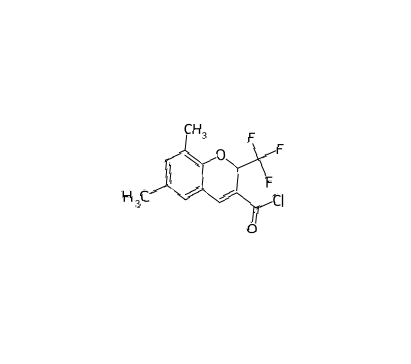 Cc1cc(C)c2c(c1)C=C(C(=O)Cl)C(C(F)(F)F)O2